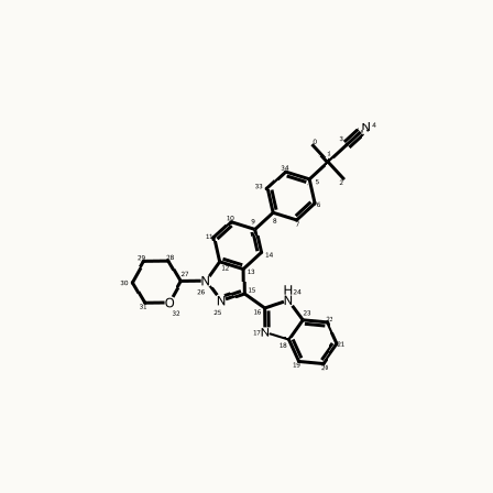 CC(C)(C#N)c1ccc(-c2ccc3c(c2)c(-c2nc4ccccc4[nH]2)nn3C2CCCCO2)cc1